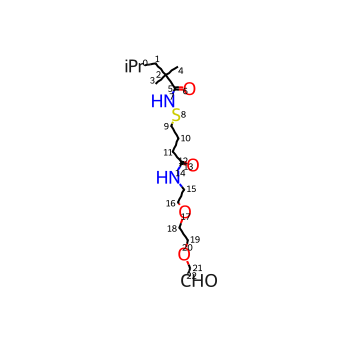 CC(C)CC(C)(C)C(=O)NSCCCC(=O)NCCOCCOCC=O